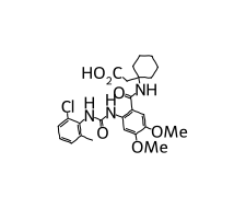 COc1cc(NC(=O)Nc2c(C)cccc2Cl)c(C(=O)NC2(CC(=O)O)CCCCC2)cc1OC